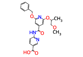 COCC(C)Oc1cc(C(=O)Nc2ccc(C(=O)O)cn2)cc(OCc2ccccc2)n1